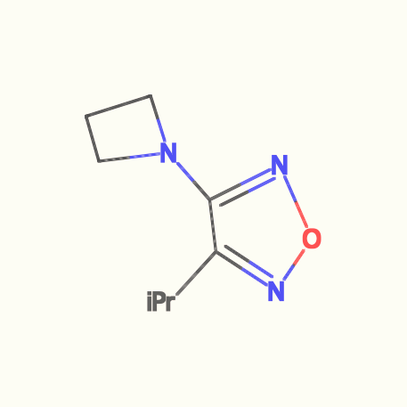 CC(C)c1nonc1N1CCC1